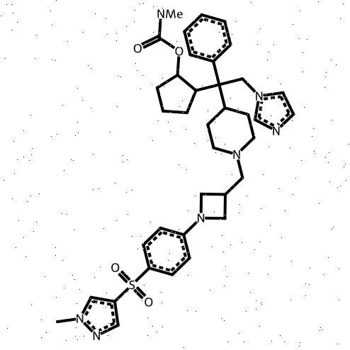 CNC(=O)OC1CCCC1C(Cn1ccnc1)(c1ccccc1)C1CCN(CC2CN(c3ccc(S(=O)(=O)c4cnn(C)c4)cc3)C2)CC1